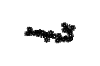 c1ccc(C2=NC(c3cccc4c3oc3ccc(-c5cccc6c5c5ccccc5n6-c5ccc6c(c5)oc5c6ccc6oc7ccc(C8=NC(c9ccccc9)NC(c9cccc%10c9sc9ccccc9%10)=N8)cc7c65)cc34)=NC(c3ccc4oc5c(ccc6c7ccc(-n8c9ccccc9c9ccccc98)cc7oc65)c4c3)N2)cc1